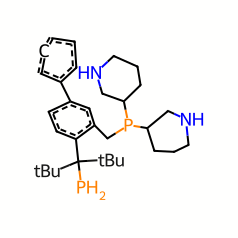 CC(C)(C)C(P)(c1ccc(-c2ccccc2)cc1CP(C1CCCNC1)C1CCCNC1)C(C)(C)C